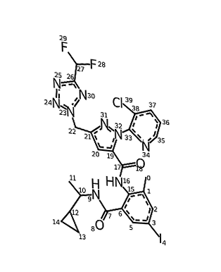 Cc1cc(I)cc(C(=O)NC(C)C2CC2)c1NC(=O)c1cc(Cn2nnc(C(F)F)n2)nn1-c1ncccc1Cl